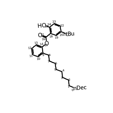 CCCCCCCCCCCCCCCCCCc1ccccc1OC(=O)c1cc(C(C)(C)C)ccc1O